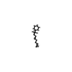 CC(C)OCCOCCC(C)(C)C1CCCCC1